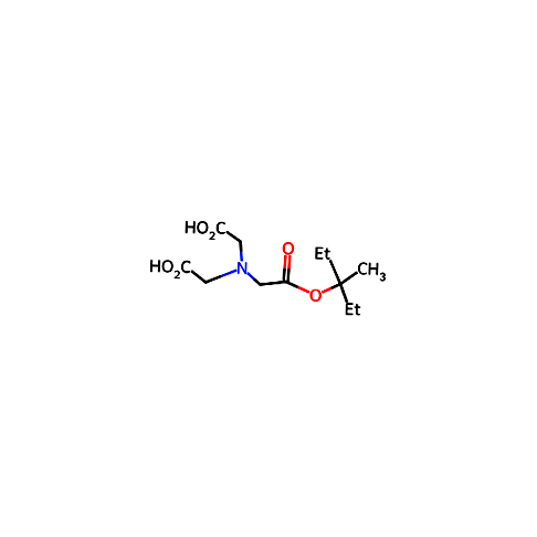 CCC(C)(CC)OC(=O)CN(CC(=O)O)CC(=O)O